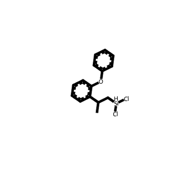 CC(C[SiH](Cl)Cl)c1ccccc1Oc1ccccc1